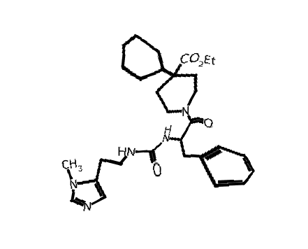 CCOC(=O)C1(C2CCCCC2)CCN(C(=O)C(Cc2ccccc2)NC(=O)NCCc2cncn2C)CC1